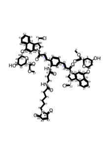 COC(=O)[C@@H]1C[C@H](O)C[C@H](Oc2cc3c(c4ccccc24)[C@H](CCl)CN3C(=O)/C=C/c2ccc(/C=C/C(=O)N3C[C@@H](CCl)c4c3cc(O[C@H]3C[C@@H](O)C[C@@H](C(=O)OC)O3)c3ccccc43)c(NC(=O)CCNC(=O)CCCCCN3C(=O)C=CC3=O)c2)O1